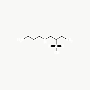 CCCCNCC(CN)S(=O)(=O)O